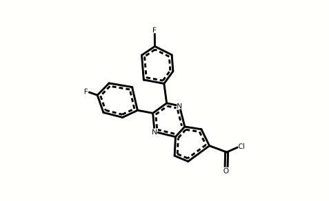 O=C(Cl)c1ccc2nc(-c3ccc(F)cc3)c(-c3ccc(F)cc3)nc2c1